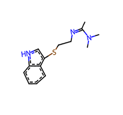 CC(=NCCSc1c[nH]c2ccccc12)N(C)C